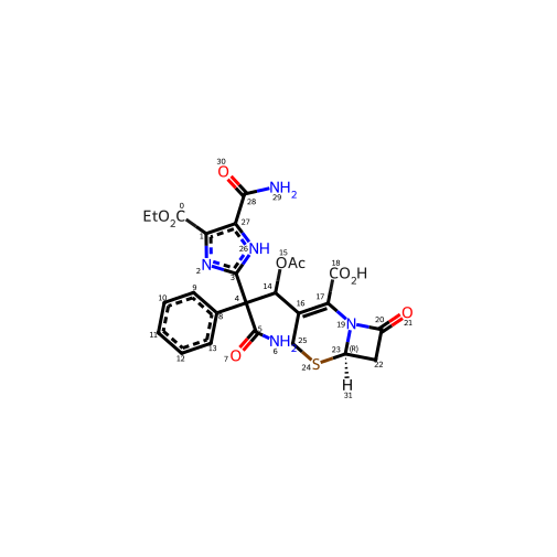 CCOC(=O)c1nc(C(C(N)=O)(c2ccccc2)C(OC(C)=O)C2=C(C(=O)O)N3C(=O)C[C@H]3SC2)[nH]c1C(N)=O